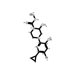 CC1CN(c2nc(C3CC3)c(Br)cc2C#N)CCN1C(=O)OC(C)(C)C